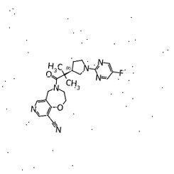 CC(C)(C(=O)N1CCOc2c(C#N)cncc2C1)[C@H]1CCN(c2ncc(F)cn2)C1